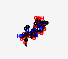 C=CCOc1ccc(C[C@H](NC(=O)[C@H](Cc2ccc3ccccc3c2)NC(=O)[C@@H]2C[C@H](n3cc(COc4ccc(CC(NC(=O)[C@H](Cc5ccc6ccccc6c5)NC(=O)[C@@H]5C[C@H](CC=C)CN5C(=O)[C@@H](NC(=O)[C@H](C)N(C)C(=O)OC(C)(C)C)C(C)(C)C)C(=O)O)cc4)nn3)CN2C(=O)[C@@H](NC(=O)[C@H](C)N(C)C(=O)OC(C)(C)C)C(C)(C)C)c2n[nH]c(=O)o2)cc1